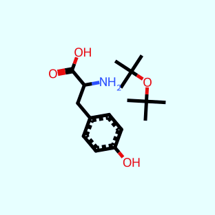 CC(C)(C)OC(C)(C)C.NC(Cc1ccc(O)cc1)C(=O)O